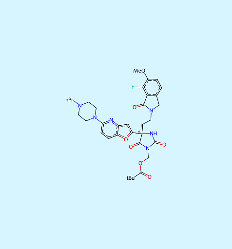 CCCN1CCN(c2ccc3oc([C@]4(CCN5Cc6ccc(OC)c(F)c6C5=O)NC(=O)N(COC(=O)C(C)(C)C)C4=O)cc3n2)CC1